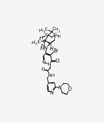 C[C@@H]1[C@H]2C[C@@H](C[C@H]1Nc1cnn(CC(=O)NCc3ccnc(N4CCOCC4)c3)c(=O)c1Br)C2(C)C